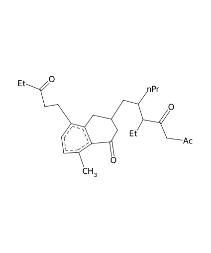 CCCC(CC1CC(=O)c2c(C)ccc(CCC(=O)CC)c2C1)C(CC)C(=O)CC(C)=O